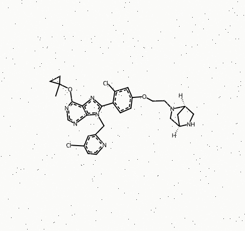 CC1(Oc2ncnc3c2nc(-c2ccc(OCCN4C[C@H]5C[C@@H]4CN5)cc2Cl)n3Cc2cc(Cl)ccn2)CC1